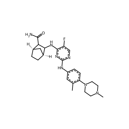 Cc1cc(Nc2ncc(F)c(NC3C(C(N)=O)[C@@H]4CC[C@H]3C4)n2)ccc1N1CCN(C)CC1